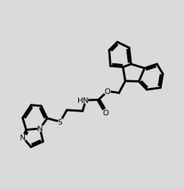 O=C(NCCSc1cccc2nccn12)OCC1c2ccccc2-c2ccccc21